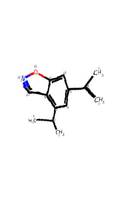 CC(C)c1cc(C(C)C)c2cnoc2c1